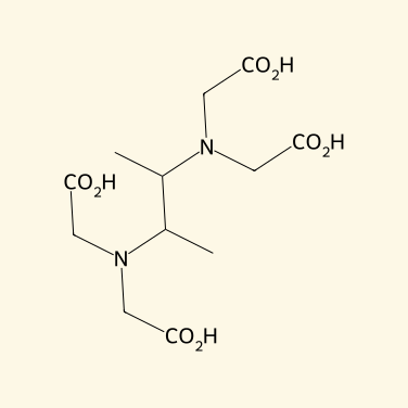 CC(C(C)N(CC(=O)O)CC(=O)O)N(CC(=O)O)CC(=O)O